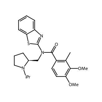 COc1ccc(C(=O)N(C[C@@H]2CCCN2C(C)C)c2nc3ccccc3s2)c(C)c1OC